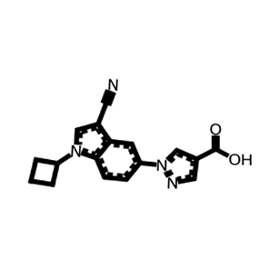 N#Cc1cn(C2CCC2)c2ccc(-n3cc(C(=O)O)cn3)cc12